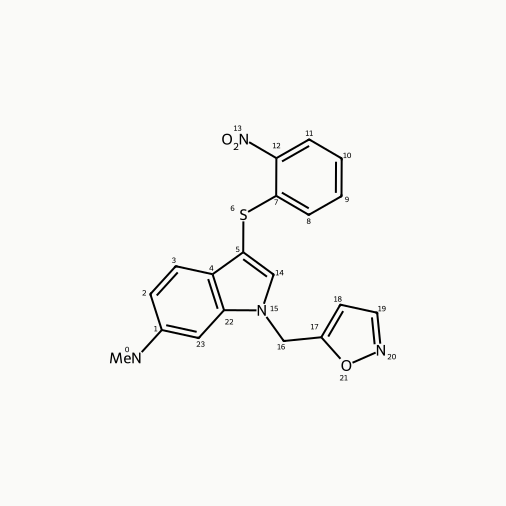 CNc1ccc2c(Sc3ccccc3[N+](=O)[O-])cn(Cc3ccno3)c2c1